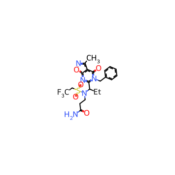 CCC(c1nc2onc(C)c2c(=O)n1Cc1ccccc1)N(CCC(N)=O)S(=O)(=O)CC(F)(F)F